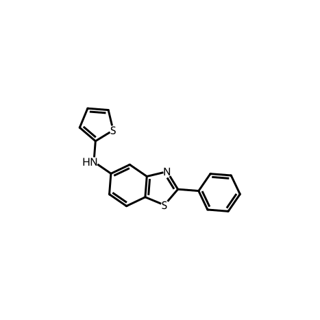 c1ccc(-c2nc3cc(Nc4cccs4)ccc3s2)cc1